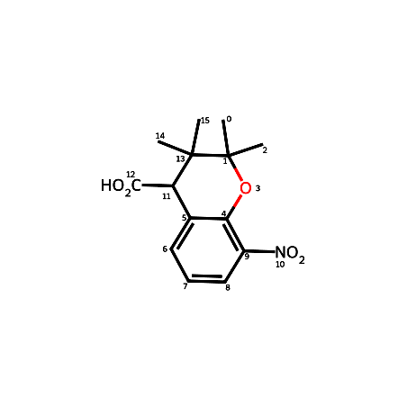 CC1(C)Oc2c(cccc2[N+](=O)[O-])C(C(=O)O)C1(C)C